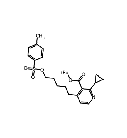 Cc1ccc(S(=O)(=O)OCCCCCc2ccnc(C3CC3)c2C(=O)OC(C)(C)C)cc1